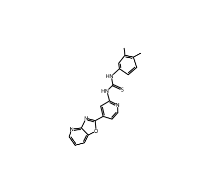 Cc1ccc(NC(=S)Nc2cc(-c3nc4ncccc4o3)ccn2)cc1C